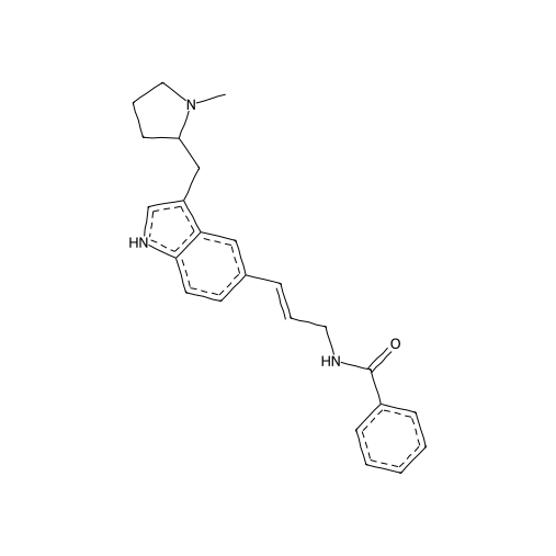 CN1CCCC1Cc1c[nH]c2ccc(C=CCNC(=O)c3ccccc3)cc12